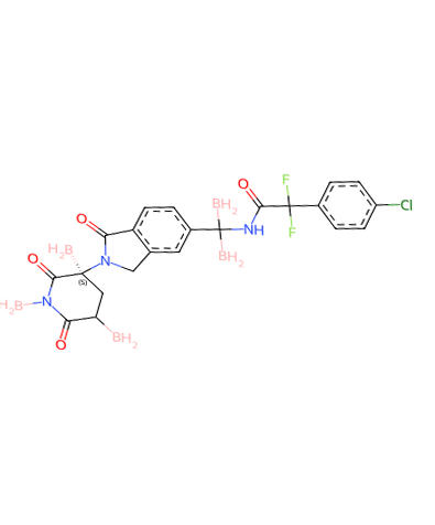 BC1C[C@](B)(N2Cc3cc(C(B)(B)NC(=O)C(F)(F)c4ccc(Cl)cc4)ccc3C2=O)C(=O)N(B)C1=O